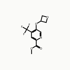 COC(=O)c1cc(C(F)(F)F)c(OC2COC2)cn1